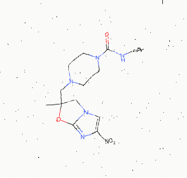 CCCNC(=O)N1CCN(CC2(C)Cn3cc([N+](=O)[O-])nc3O2)CC1